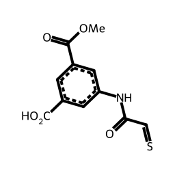 COC(=O)c1cc(NC(=O)C=S)cc(C(=O)O)c1